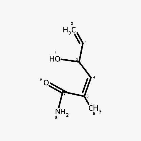 C=CC(O)C=C(C)C(N)=O